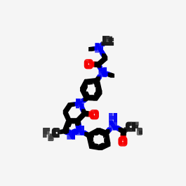 CCN(C)CC(=O)N(C)c1ccc(N2CCc3c(C(F)(F)F)nn(-c4cccc(NC(=O)C(F)(F)F)c4)c3C2=O)cc1